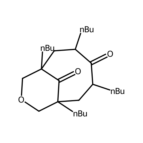 CCCCC1CC2(CCCC)COCC(CCCC)(CC(CCCC)C1=O)C2=O